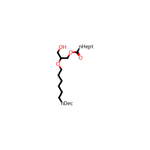 CCCCCCCCCCCCCCCCOC(CO)COC(=O)CCCCCCC